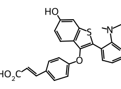 CN(C)c1ccccc1-c1sc2cc(O)ccc2c1Oc1ccc(C=CC(=O)O)cc1